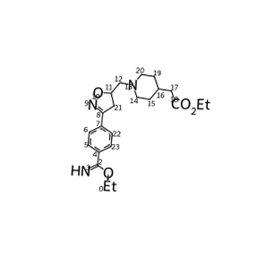 CCOC(=N)c1ccc(C2=NOC(CN3CCC(CC(=O)OCC)CC3)C2)cc1